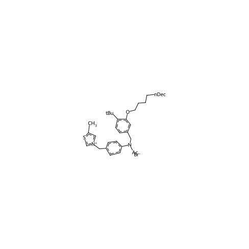 CCCCCCCCCCCCCCOc1cc(CN(C(C)=O)c2ccc(C[n+]3csc(C)c3)cc2)ccc1C(C)(C)C.[Br-]